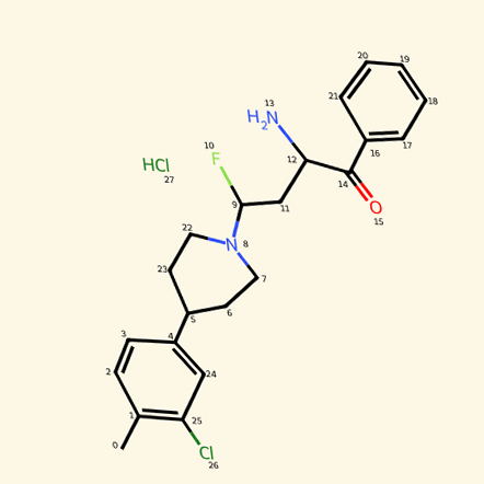 Cc1ccc(C2CCN(C(F)CC(N)C(=O)c3ccccc3)CC2)cc1Cl.Cl